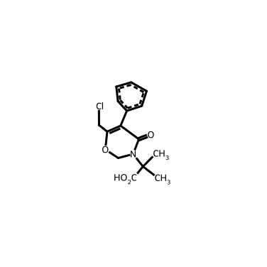 CC(C)(C(=O)O)N1COC(CCl)=C(c2ccccc2)C1=O